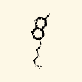 O=C(O)CSCOc1ccc2ncc(I)cc2c1